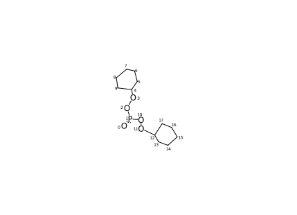 O=[P](OOC1CCCCC1)OOC1CCCCC1